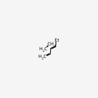 C=C.C=CC=CCC